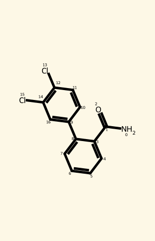 NC(=O)c1ccccc1-c1ccc(Cl)c(Cl)c1